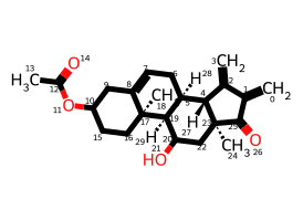 C=C1C(=C)[C@H]2[C@@H]3CC=C4CC(OC(C)=O)CC[C@]4(C)[C@@H]3C(O)C[C@]2(C)C1=O